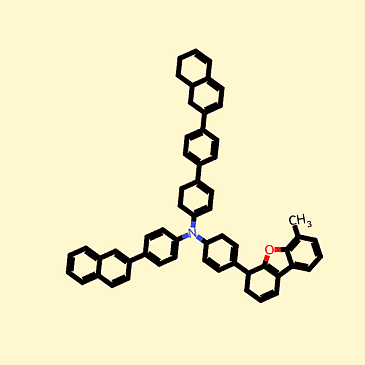 Cc1cccc2c3c(oc12)C(C1=CCC(N(C2=CC=C(c4ccc(C5=CC=C6C=CCCC6C5)cc4)CC2)c2ccc(-c4ccc5ccccc5c4)cc2)C=C1)CC=C3